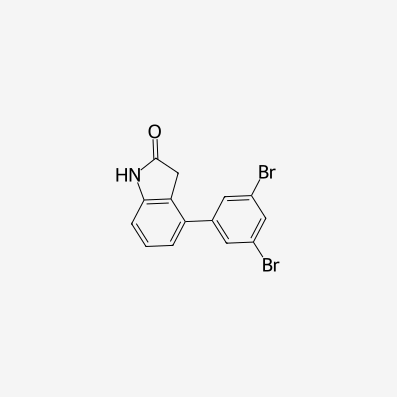 O=C1Cc2c(cccc2-c2cc(Br)cc(Br)c2)N1